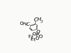 CCOP(=O)(OCC)Oc1ccc(C=O)c(C)c1